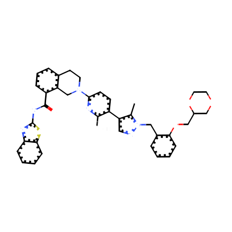 Cc1c(-c2ccc(N3CCc4cccc(C(=O)Nc5nc6ccccc6s5)c4C3)nc2C(=O)O)cnn1Cc1ccccc1OCC1COCCO1